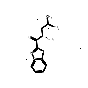 CC(C)C[C@H](N)C(=O)c1nc2ccccc2s1